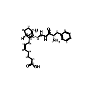 N[C@@H](Cc1ccccc1)C(=O)NNC[C@@H]1[C@@H](C/C=C\CCCC(=O)O)[C@H]2CC[C@@H]1O2